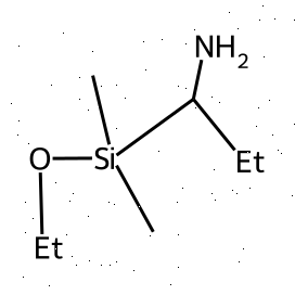 CCO[Si](C)(C)C(N)CC